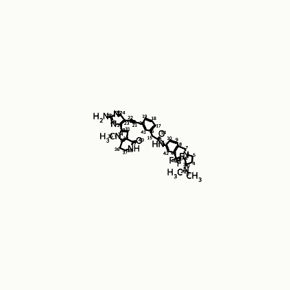 CN(C)[C@H]1CCN(Cc2ccc(NC(=O)Cc3cccc(C#Cc4cnc(N)nc4-c4cc5c(n4C)CCNC5=O)c3)cc2C(F)(F)F)C1